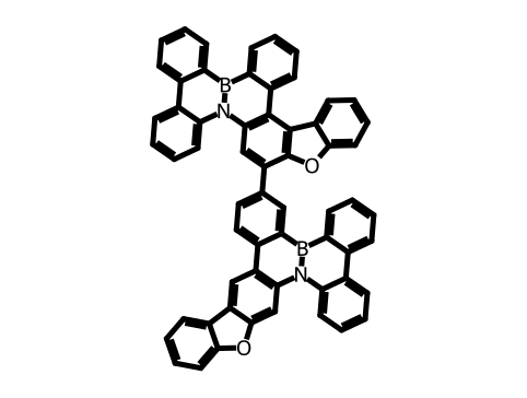 c1ccc2c(c1)B1c3cc(-c4cc5c(c6c4oc4ccccc46)-c4ccccc4B4c6ccccc6-c6ccccc6N45)ccc3-c3cc4c(cc3N1c1ccccc1-2)oc1ccccc14